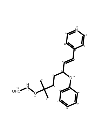 CC(C)(CCC(/C=C/c1ccncc1)Oc1ccccc1)ONC=O